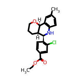 CCOC(=O)c1ccc([C@@H]2Nc3ccc(C)cc3[C@@H]3OCCC[C@H]23)c(Cl)c1